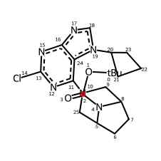 CC(C)(C)OC(=O)N1C2CCC1CN(c1nc(Cl)nc3ncn(C4CCC4)c13)C2